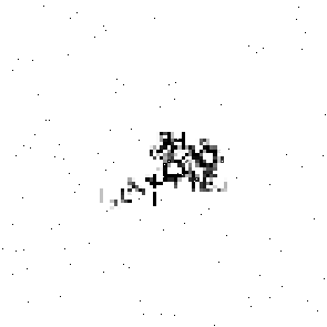 CCCCNc1cc(CNCCC(F)(F)F)cc(S(N)(=O)=O)c1Oc1ccccc1